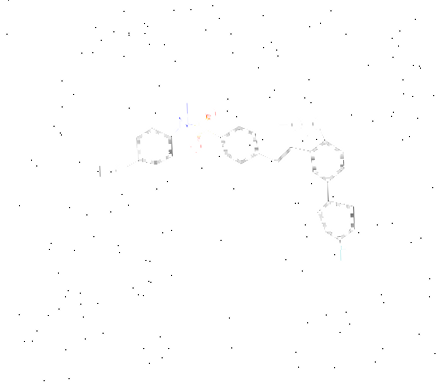 O=C(O)c1ccc(-c2ccc(F)cc2)cc1C=Cc1ccc(S(=O)(=O)Nc2ccc(C(F)(F)F)cc2)cc1